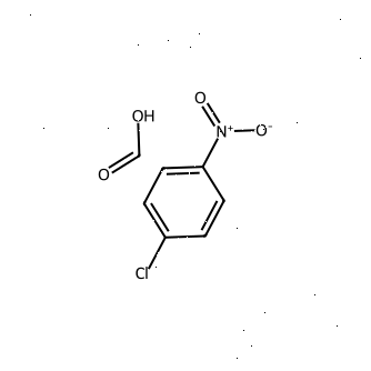 O=CO.O=[N+]([O-])c1ccc(Cl)cc1